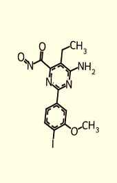 CCc1c(N)nc(-c2ccc(I)c(OC)c2)nc1C(=O)N=O